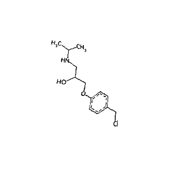 CC(C)NCC(O)COc1ccc(CCl)cc1